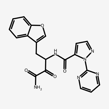 NC(=O)C(=O)C(Cc1coc2ccccc12)NC(=O)c1ccnn1-c1ncccn1